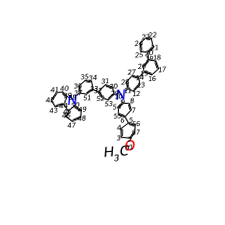 COc1ccc(-c2ccc(N(c3ccc(-c4cccc(-c5ccccc5)c4)cc3)c3ccc(-c4cccc(-n5c6ccccc6c6ccccc65)c4)cc3)cc2)cc1